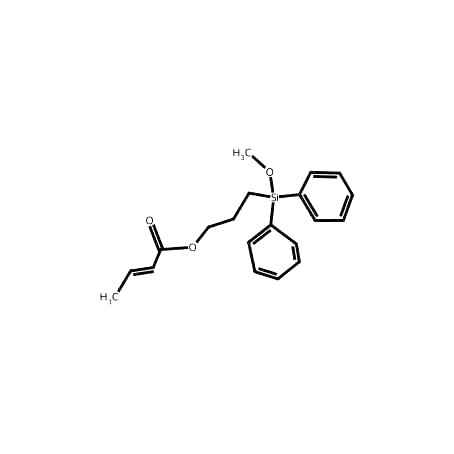 CC=CC(=O)OCCC[Si](OC)(c1ccccc1)c1ccccc1